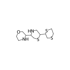 C1COCC(C2CSC(C3CSCCS3)CN2)N1